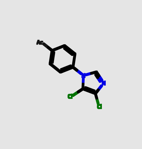 CC(=O)c1ccc(-n2cnc(Cl)c2Cl)cc1